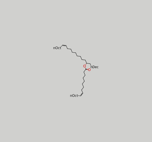 CCCCCCCC/C=C\CCCCCCCCC(CCCCCCCCCCC)OC(=O)CCCCCCC/C=C\CCCCCCCC